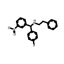 O=[N+]([O-])c1cccc(C(NCCc2ccccc2)c2ccc(F)cc2)c1